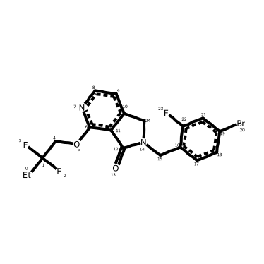 CCC(F)(F)COc1nccc2c1C(=O)N(Cc1ccc(Br)cc1F)C2